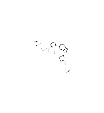 CC(C)(C)[Si](C)(C)OCc1cccc(-n2ncc3ccc(-c4cccc([C@@H](N)C5CC(O[Si](C)(C)C(C)(C)C)C5)n4)cc32)n1